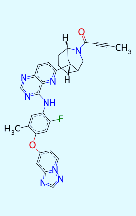 CC#CC(=O)N1CC2CCC[C@H]1C[C@H]2c1ccc2ncnc(Nc3cc(C)c(Oc4ccn5ncnc5c4)cc3F)c2n1